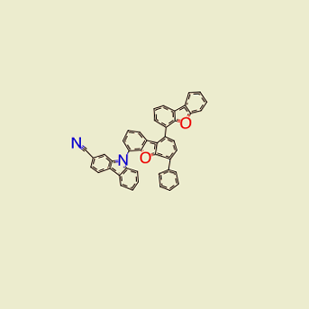 N#Cc1ccc2c3ccccc3n(-c3cccc4c3oc3c(-c5ccccc5)ccc(-c5cccc6c5oc5ccccc56)c34)c2c1